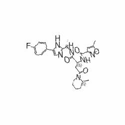 Cc1cc(C(=O)N[C@@H](CC(=O)N2CCCC[C@@H]2C)C(=O)N[C@@H](C)c2ncc(-c3ccc(F)cc3)[nH]2)no1